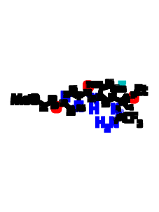 CCOC[C@](C)(/N=C(/N)C(F)(F)F)c1cc(NC(=O)c2cnc(OCCOC)cn2)ccc1F